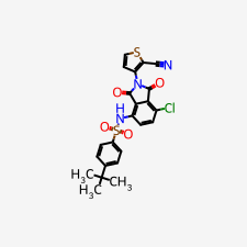 CC(C)(C)c1ccc(S(=O)(=O)Nc2ccc(Cl)c3c2C(=O)N(c2ccsc2C#N)C3=O)cc1